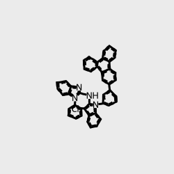 Clc1c(Nc2nc3ccccc3n2-c2ccccc2)n(-c2cccc(-c3ccc4c5ccccc5c5ccccc5c4c3)c2)c2ccccc12